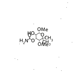 CO[C@@H]1OC(C)(C)[C@H](OC)[C@H](OC(N)=O)C1O